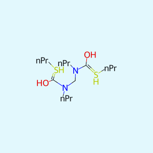 CCC[SH]=C(O)N(CCC)CN(CCC)C(O)=[SH]CCC